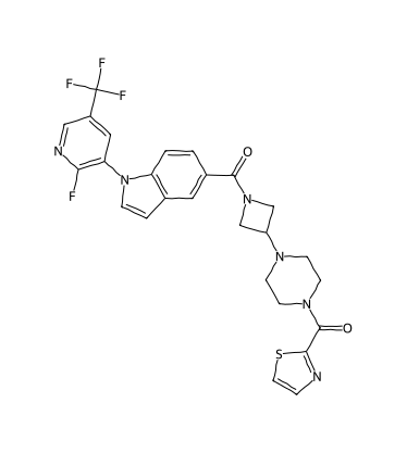 O=C(c1ccc2c(ccn2-c2cc(C(F)(F)F)cnc2F)c1)N1CC(N2CCN(C(=O)c3nccs3)CC2)C1